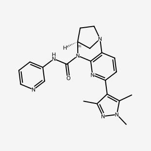 Cc1nn(C)c(C)c1-c1ccc2c(n1)N(C(=O)Nc1cccnc1)[C@H]1CCN2C1